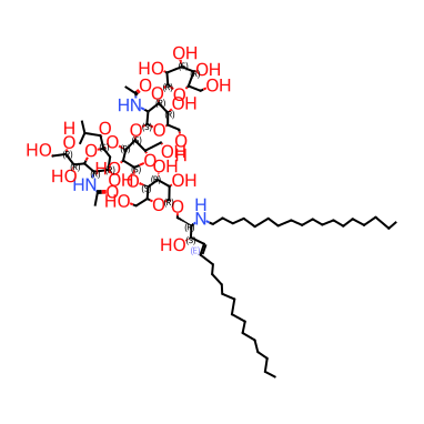 CCCCCCCCCCCCC/C=C/[C@H](O)[C@@H](CO[C@@H]1OC(CO)[C@@H](O[C@@H]2OC(CO)[C@H](O[C@@H]3OC(CO)[C@H](O)[C@H](O[C@@H]4OC(CO)[C@H](O)[C@H](O)C4O)C3NC(C)=O)[C@H](O[C@]3(C(=O)C(C)C)C[C@@H](O)[C@@H](NC(C)=O)C([C@H](O)[C@H](O)CO)O3)C2O)[C@H](O)C1O)NCCCCCCCCCCCCCCCCCC